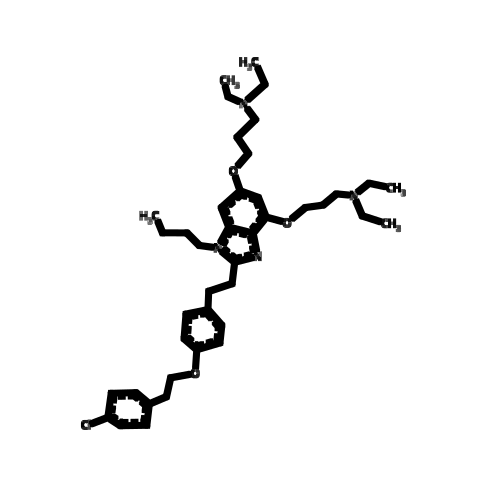 CCCCn1c(CCc2ccc(OCCc3ccc(Cl)cc3)cc2)nc2c(OCCCN(CC)CC)cc(OCCCN(CC)CC)cc21